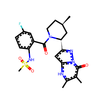 Cc1[nH]c2cc([C@H]3C[C@H](C)CCN3C(=O)c3cc(F)ccc3NS(C)(=O)=O)nn2c(=O)c1C